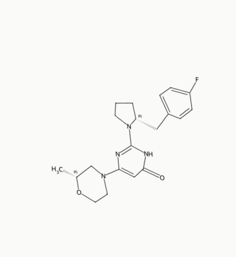 C[C@@H]1CN(c2cc(=O)[nH]c(N3CCC[C@@H]3Cc3ccc(F)cc3)n2)CCO1